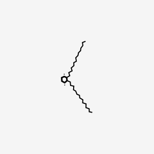 CCCCCCCCCCCCCCCc1[c]cc[c]c1CCCCCCCCCCCCCCC